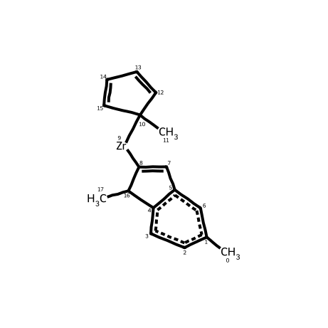 Cc1ccc2c(c1)C=[C]([Zr][C]1(C)C=CC=C1)C2C